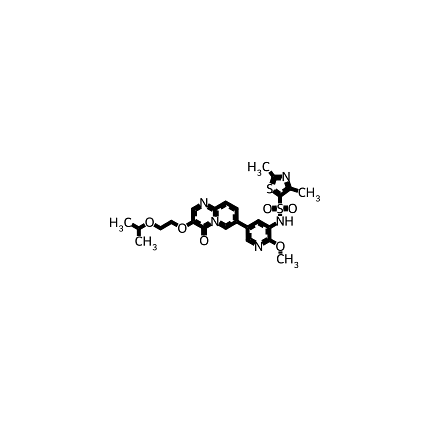 COc1ncc(-c2ccc3ncc(OCCOC(C)C)c(=O)n3c2)cc1NS(=O)(=O)c1sc(C)nc1C